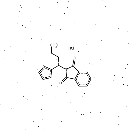 Cl.O=C(O)CCC(c1cccs1)N1C(=O)c2ccccc2C1=O